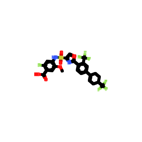 COc1cc(C(=O)O)c(F)cc1NS(=O)(=O)c1coc(-c2ccc(C3=CCC(C(F)(F)F)CC3)cc2C(F)(F)F)n1